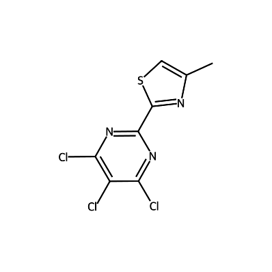 Cc1csc(-c2nc(Cl)c(Cl)c(Cl)n2)n1